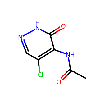 CC(=O)Nc1c(Cl)cn[nH]c1=O